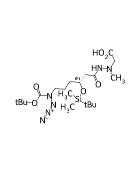 CN(CC(=O)O)NC(=O)C[C@@H](CCCN(N=[N+]=[N-])C(=O)OC(C)(C)C)O[Si](C)(C)C(C)(C)C